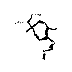 C=N/C=N\C1=C(C)C=CC(C)([C@@H](CCC)CCCCCC)C=C1